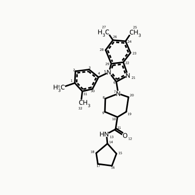 Cc1ccc(-n2c(N3CCC(C(=O)NC4CCCC4)CC3)nc3cc(C)c(C)cc32)cc1C